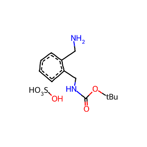 CC(C)(C)OC(=O)NCc1ccccc1CN.O=S(=O)(O)O